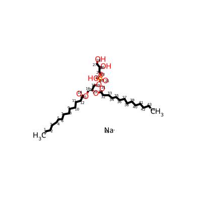 CCCCCCCCCCCCCC(=O)OC[C@H](COP(=O)(O)OCC(O)CO)OC(=O)CCCCCCCCCCCCC.[Na]